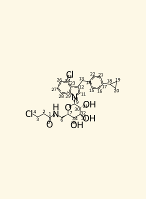 O=C(CCCl)NC[C@H]1O[C@@H](n2cc(Cc3ccc(C4CC4)cc3)c3c(Cl)cccc32)[C@H](O)[C@@H](O)[C@@H]1O